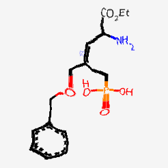 CCOC(=O)C(N)/C=C(/COCc1ccccc1)CP(=O)(O)O